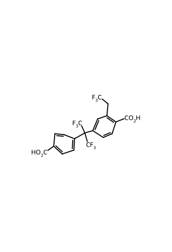 O=C(O)c1ccc(C(c2ccc(C(=O)O)c(CC(F)(F)F)c2)(C(F)(F)F)C(F)(F)F)cc1